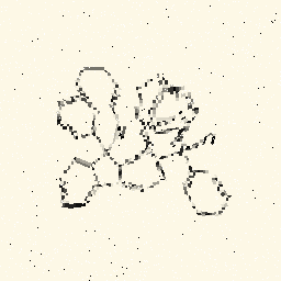 O=P(c1ccccc1)(c1ccccc1)c1ccc2c(c1-c1ccccc1)C(c1ccccc1)(N(c1ccccc1)c1ccccc1)c1ccccc1-2